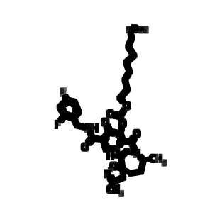 CCCCCCCCCCCCCCCCCCOC(=O)Oc1c2n(cc(C(=O)NCc3ccc(F)cc3F)c1=O)[C@@H]1CN(C2=O)[C@@H](C)CC[C@]12CC(C)=NO2